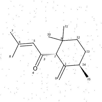 C=C1[C@H](C(=O)C=C(C)C)C(C)(C)CC[C@H]1C